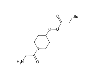 CC(C)(C)CC(=O)OOC1CCN(C(=O)CN)CC1